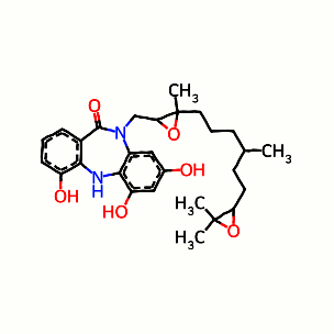 CC(CCCC1(C)OC1CN1C(=O)c2cccc(O)c2Nc2c(O)cc(O)cc21)CCC1OC1(C)C